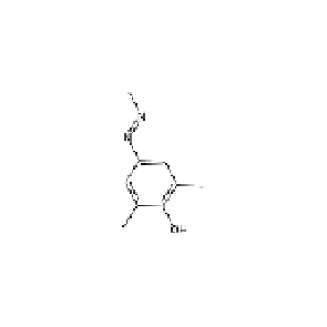 CN=Nc1cc(C)c(O)c(C)c1